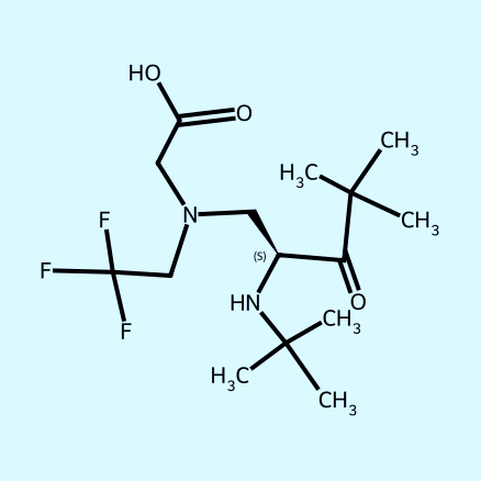 CC(C)(C)N[C@@H](CN(CC(=O)O)CC(F)(F)F)C(=O)C(C)(C)C